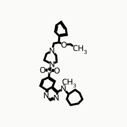 CCOC(CN1CCN(S(=O)(=O)c2ccc3ncnc(N(C)C4CCCCCC4)c3c2)CC1)c1ccccc1